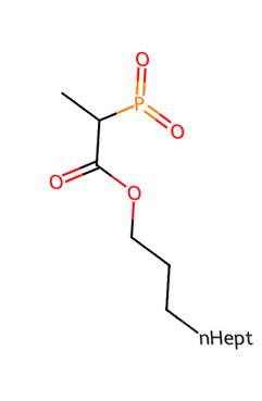 CCCCCCCCCCOC(=O)C(C)P(=O)=O